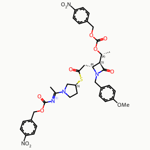 COc1ccc(CN2C(=O)[C@H]([C@@H](C)OC(=O)OCc3ccc([N+](=O)[O-])cc3)[C@H]2CC(=O)S[C@H]2CCN(/C(C)=N/C(=O)OCc3ccc([N+](=O)[O-])cc3)C2)cc1